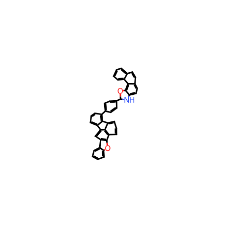 c1cc(-c2ccc(C3Nc4ccc5ccc6ccccc6c5c4O3)cc2)c2c(c1)-c1cc3c4ccccc4oc3c3cccc-2c13